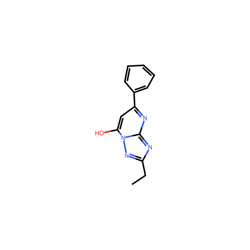 CCc1nc2nc(-c3ccccc3)cc(O)n2n1